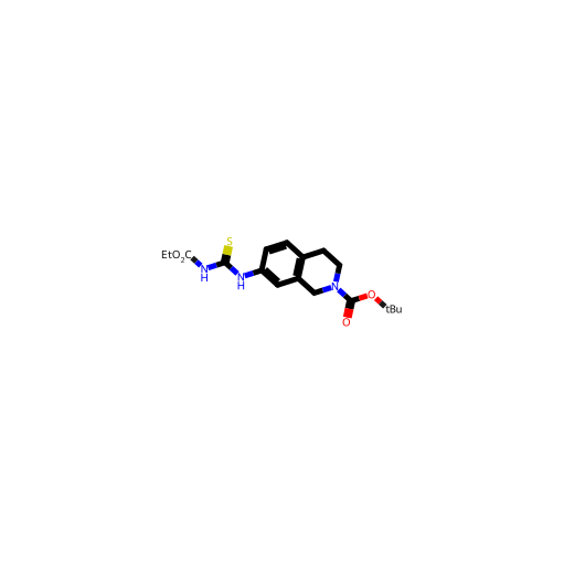 CCOC(=O)NC(=S)Nc1ccc2c(c1)CN(C(=O)OC(C)(C)C)CC2